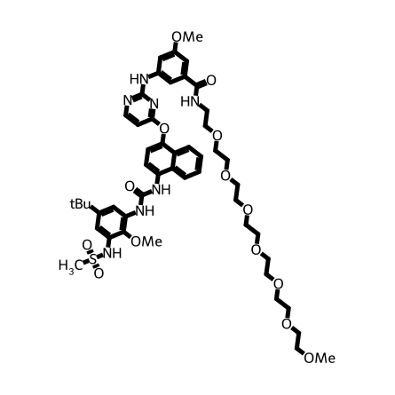 COCCOCCOCCOCCOCCOCCOCCNC(=O)c1cc(Nc2nccc(Oc3ccc(NC(=O)Nc4cc(C(C)(C)C)cc(NS(C)(=O)=O)c4OC)c4ccccc34)n2)cc(OC)c1